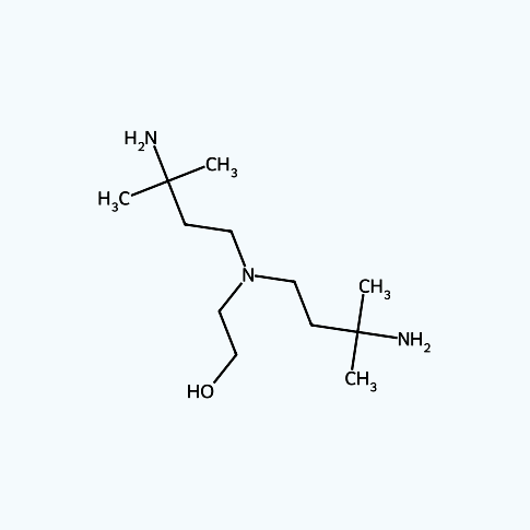 CC(C)(N)CCN(CCO)CCC(C)(C)N